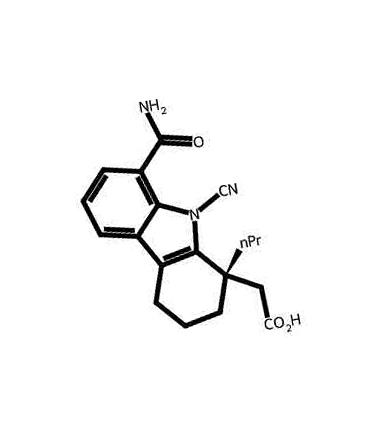 CCC[C@@]1(CC(=O)O)CCCc2c1n(C#N)c1c(C(N)=O)cccc21